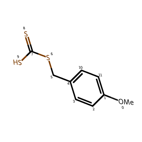 COc1ccc(CSC(=S)S)cc1